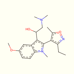 CCc1noc(C)c1-c1c(C(O)CN(C)C)c2cc(OC)ccc2n1C